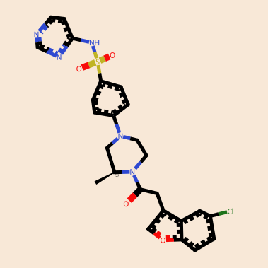 C[C@H]1CN(c2ccc(S(=O)(=O)Nc3ccncn3)cc2)CCN1C(=O)Cc1coc2ccc(Cl)cc12